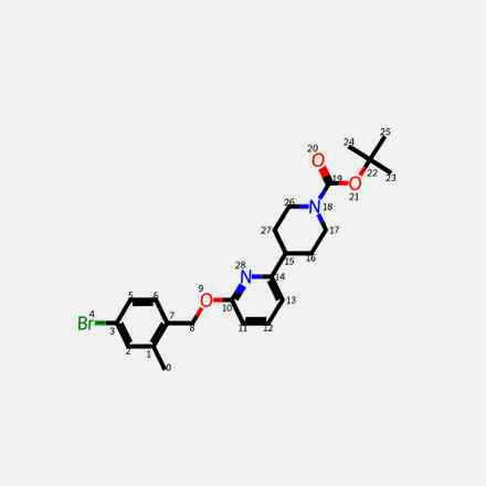 Cc1cc(Br)ccc1COc1cccc(C2CCN(C(=O)OC(C)(C)C)CC2)n1